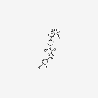 CC(C)(C)OC(=O)N1CCC(N(C(=O)c2cnc(-c3ccc(C#N)c(F)c3)o2)C2CC2)CC1